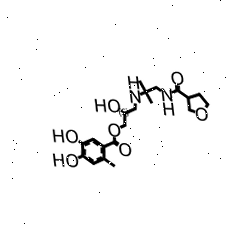 Cc1cc(O)c(O)cc1C(=O)OC[C@@H](O)CNC(C)(C)CNC(=O)C1CCOC1